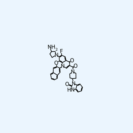 NC1CCN(c2c(F)cc3c(=O)c(C(=O)N4CCC(n5c(=O)[nH]c6ccccc65)CC4)cn4c3c2Oc2cc3ccccc3cc2-4)C1